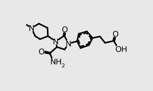 CN1CCC(N2C(=O)N(c3ccc(CCC(=O)O)cc3)CC2C(N)=O)CC1